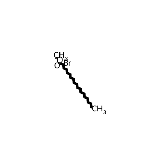 CCCCCCCCCCCCCCCCCCC(Br)C(=O)OCC